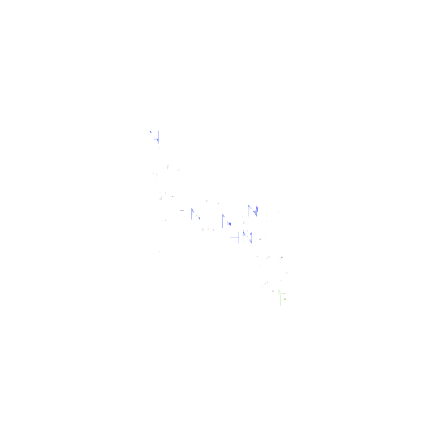 CCCCCC(c1ccc(C#N)c(C)c1)N1C=CN(C(=NCC(C)C)NCc2ccc(F)cc2)CC1